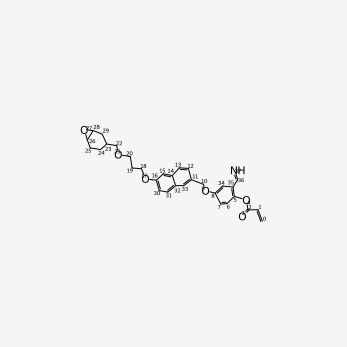 C=CC(=O)Oc1ccc(OCc2ccc3cc(OCCCOCC4CCC5OC5C4)ccc3c2)cc1C=N